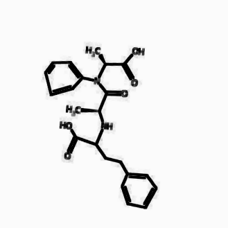 C[C@H](NC(CCc1ccccc1)C(=O)O)C(=O)N(c1ccccc1)[C@@H](C)C(=O)O